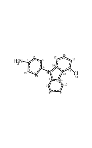 Nc1ccc(-n2c3ccccc3c3c(Cl)cccc32)cc1